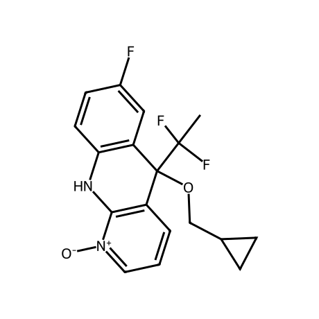 CC(F)(F)C1(OCC2CC2)c2cc(F)ccc2Nc2c1ccc[n+]2[O-]